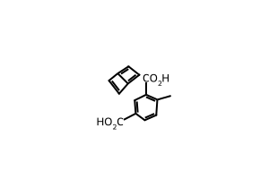 Cc1ccc(C(=O)O)cc1C(=O)O.c1cc2ccc1-2